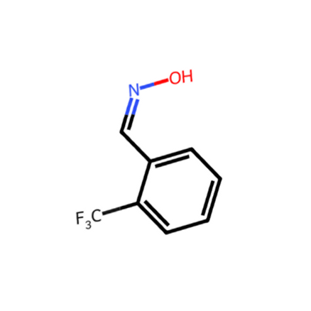 O/N=C\c1ccccc1C(F)(F)F